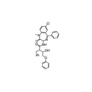 CC(C)CC(C(=O)NC1N=C(c2ccccc2)c2cc(Cl)ccc2N(C)C1=O)C(O)COc1ccccc1